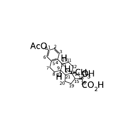 CC(=O)Oc1ccc2c(c1)CC[C@@H]1[C@@H]2CC[C@]2(C)[C@@H](C(O)C(=O)O)CC[C@@H]12